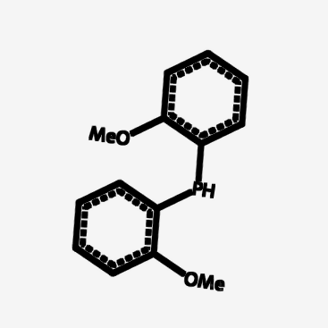 COc1ccccc1Pc1ccccc1OC